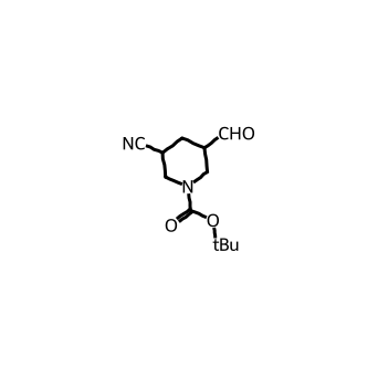 CC(C)(C)OC(=O)N1CC(C#N)CC(C=O)C1